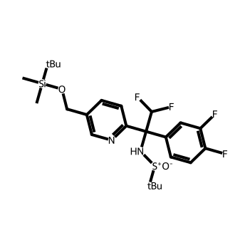 CC(C)(C)[S+]([O-])NC(c1ccc(F)c(F)c1)(c1ccc(CO[Si](C)(C)C(C)(C)C)cn1)C(F)F